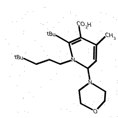 CC1=CC(N2CCOCC2)N(CCCC(C)(C)C)C(C(C)(C)C)=C1C(=O)O